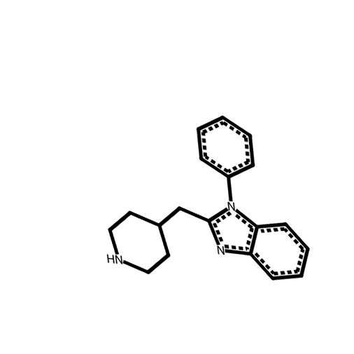 c1ccc(-n2c(CC3CCNCC3)nc3ccccc32)cc1